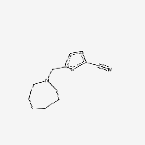 N#Cc1ccc(CN2CCCCCC2)s1